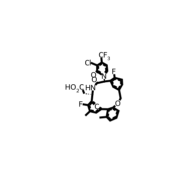 Cc1cc2cc(c1F)[C@H](CC(=O)O)NC(=O)[C@@H](n1ccc(C(F)(F)F)c(Cl)c1=O)c1cc(ccc1F)COc1cccc(C)c1-2